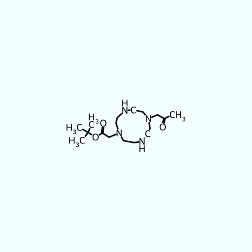 CC(=O)CN1CCNCCN(CC(=O)OC(C)(C)C)CCNCC1